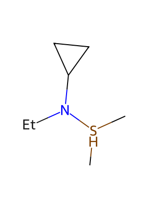 CCN(C1CC1)[SH](C)C